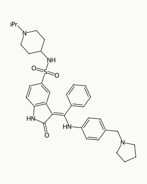 CC(C)N1CCC(NS(=O)(=O)c2ccc3c(c2)/C(=C(/Nc2ccc(CN4CCCC4)cc2)c2ccccc2)C(=O)N3)CC1